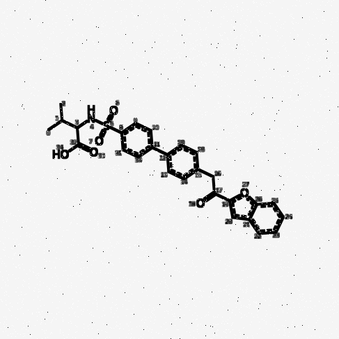 CC(C)C(NS(=O)(=O)c1ccc(-c2ccc(CC(=O)c3cc4ccccc4o3)cc2)cc1)C(=O)O